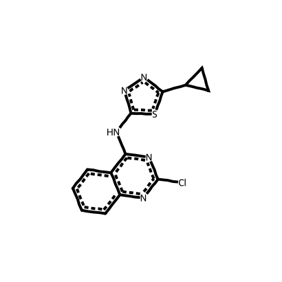 Clc1nc(Nc2nnc(C3CC3)s2)c2ccccc2n1